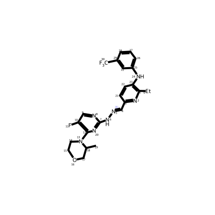 CCc1nc(/C=N/Nc2ncc(F)c(N3CCOCC3C)n2)ccc1Nc1cccc(C(F)(F)F)c1